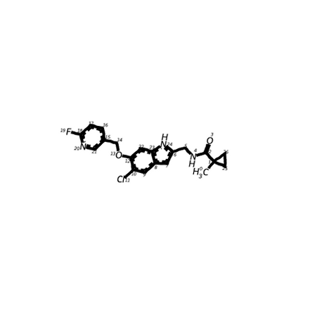 CC1(C(=O)NCc2cc3cc(Cl)c(OCc4ccc(F)nc4)cc3[nH]2)CC1